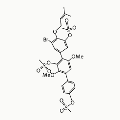 COc1cc(-c2ccc(OS(C)(=O)=O)cc2)c(OC)c(OS(C)(=O)=O)c1-c1cc(Br)c(OCC=C(C)C)c(OS(C)(=O)=O)c1